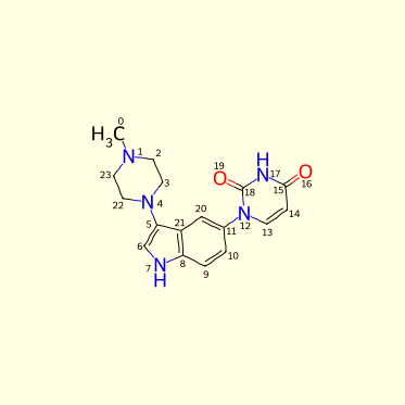 CN1CCN(c2c[nH]c3ccc(-n4ccc(=O)[nH]c4=O)cc23)CC1